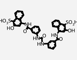 O=C(Nc1cccc(C(=O)Nc2cc(O)c(S(=O)(=O)O)c3ccccc23)c1)Nc1cccc(C(=O)Nc2cc(O)c(S(=O)(=O)O)c3ccccc23)c1